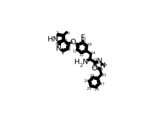 Cc1c[nH]c2nccc(Oc3ccc(CC(N)c4nnc(Cc5ccccc5)o4)cc3F)c12